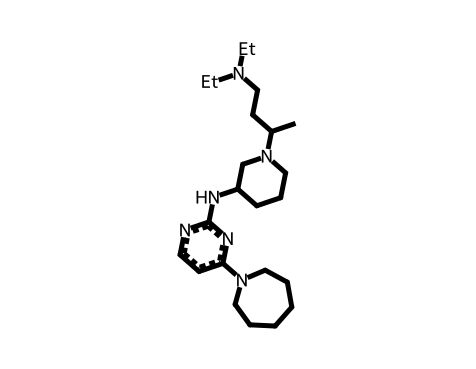 CCN(CC)CCC(C)N1CCCC(Nc2nccc(N3CCCCCC3)n2)C1